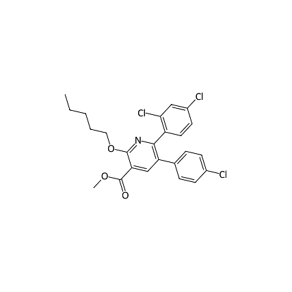 CCCCCOc1nc(-c2ccc(Cl)cc2Cl)c(-c2ccc(Cl)cc2)cc1C(=O)OC